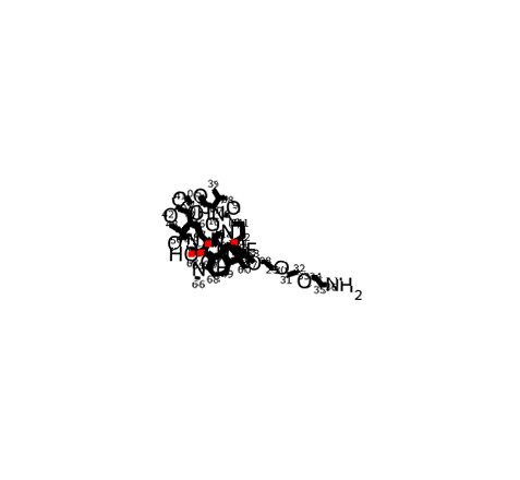 CC[C@@]1(OC(=O)[C@@H](NC(=O)[C@@H]2CCCN2C(=O)[C@H](CC(=O)O)NC(=O)CCOCCOCCOCCN)C(C)C)C(=O)OCc2c1cc1n(c2=O)Cc2c-1nc1cc(F)c(C)c3c1c2[C@@H](N(C)C)CC3